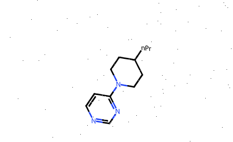 CCCC1CCN(c2ccncn2)CC1